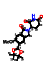 COc1cc2c(cc1B1OC(C)(C)C(C)(C)O1)CN(C1CCC(=O)NC1=O)C2=O